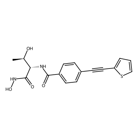 C[C@@H](O)[C@H](NC(=O)c1ccc(C#Cc2cccs2)cc1)C(=O)NO